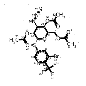 CC(=O)OC[C@H]1O[C@H](Sc2cnc(C(F)(F)F)c(Br)c2)[C@H](OC(C)=O)[C@@H](N=[N+]=[N-])[C@H]1OC(C)=O